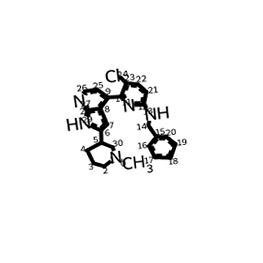 CN1CCCC(c2cc3c(-c4nc(NCc5ccccc5)ccc4Cl)ccnc3[nH]2)C1